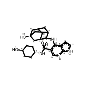 O=C(N[C@H]1CC[C@H](O)CC1)c1cnc2[nH]ccc2c1N[C@H]1C2CC3CC1C[C@@](O)(C3)C2